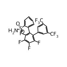 NS(=O)(=O)c1ccccc1-c1c(F)c(F)c(F)c(F)c1-c1cc(C(F)(F)F)cc(C(F)(F)F)c1